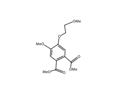 COCCOc1cc(C(=O)OC)c(C(=O)OC)cc1OC